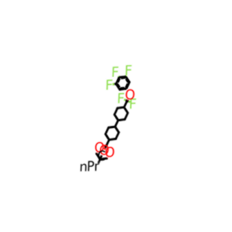 CCCC12COC(C3CCC(C4CCC(C(F)(F)Oc5cc(F)c(F)c(F)c5)CC4)CC3)(OC1)OC2